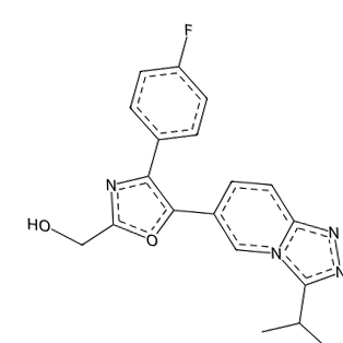 CC(C)c1nnc2ccc(-c3oc(CO)nc3-c3ccc(F)cc3)cn12